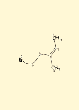 CC=C(C)CCBr